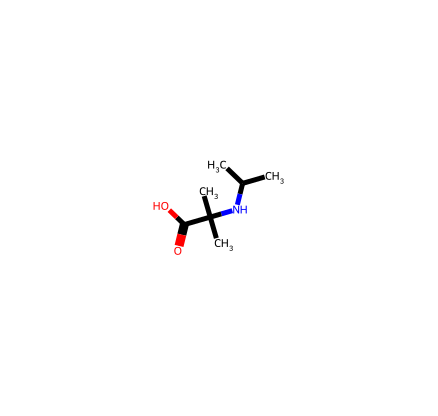 CC(C)NC(C)(C)C(=O)O